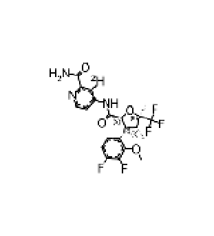 [2H]c1c(NC(=O)[C@H]2O[C@@](C)(C(F)(F)F)[C@H](C)[C@@H]2c2ccc(F)c(F)c2OC)ccnc1C(N)=O